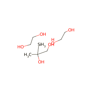 CC(O)([SiH3])CO.OCCO.OCCO